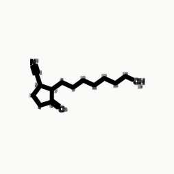 N#CC1CCC(=O)C1CCCCCCCO